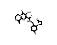 C=C1OCCn2c1nc(C(=O)NCc1ccc(F)cc1N1CCC1=O)c(O)c2=O